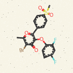 Cc1oc(-c2ccc(S(C)(=O)=O)cc2)c(Oc2ccc(F)cc2F)c(=O)c1Br